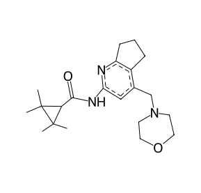 CC1(C)C(C(=O)Nc2cc(CN3CCOCC3)c3c(n2)CCC3)C1(C)C